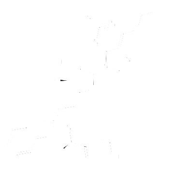 CCOc1nc(N)nc2c1ncn2[C@@H]1O[C@H](CO[P@@](=O)(N[C@H](C)C(=O)OC(C)C)Oc2ccccc2)[C@@H](O)[C@@]1(C)Cl